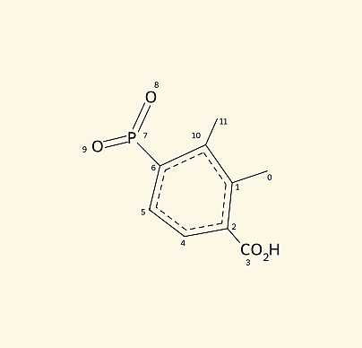 Cc1c(C(=O)O)ccc(P(=O)=O)c1C